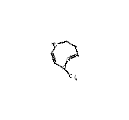 CN1/C=C\NCC/C=N/1